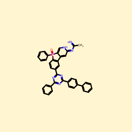 CC(=N)/N=c1/cc2c(c[nH]1)P(=O)(c1ccccc1)c1ccc(-c3nc(-c4ccccc4)nc(-c4ccc(-c5ccccc5)cc4)n3)cc1-2